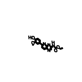 CCOC(=O)Nc1cnc2ccc(-c3ccc(O)c(OC)c3)nc2n1